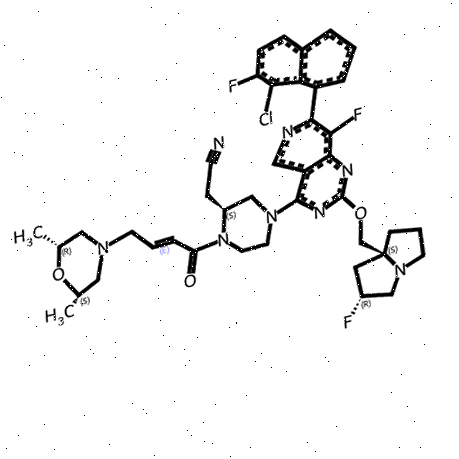 C[C@@H]1CN(C/C=C/C(=O)N2CCN(c3nc(OC[C@@]45CCCN4C[C@H](F)C5)nc4c(F)c(-c5cccc6ccc(F)c(Cl)c56)ncc34)C[C@@H]2CC#N)C[C@H](C)O1